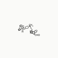 CN(CCCn1nnc2cc(C=O)c3c(c21)COC3)[C@H]1CC[C@H](OC(=O)C(O)(c2cccs2)c2cccs2)CC1